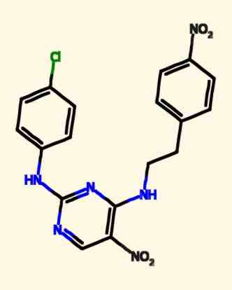 O=[N+]([O-])c1ccc(CCNc2nc(Nc3ccc(Cl)cc3)ncc2[N+](=O)[O-])cc1